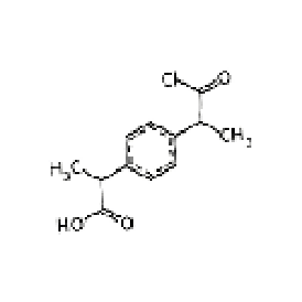 CC(C(=O)O)c1ccc(C(C)C(=O)Cl)cc1